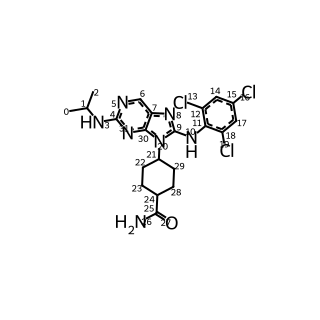 CC(C)Nc1ncc2nc(Nc3c(Cl)cc(Cl)cc3Cl)n(C3CCC(C(N)=O)CC3)c2n1